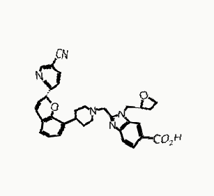 N#Cc1ccc([C@H]2C=Cc3cccc(C4CCN(Cc5nc6ccc(C(=O)O)cc6n5C[C@@H]5CCO5)CC4)c3O2)nc1